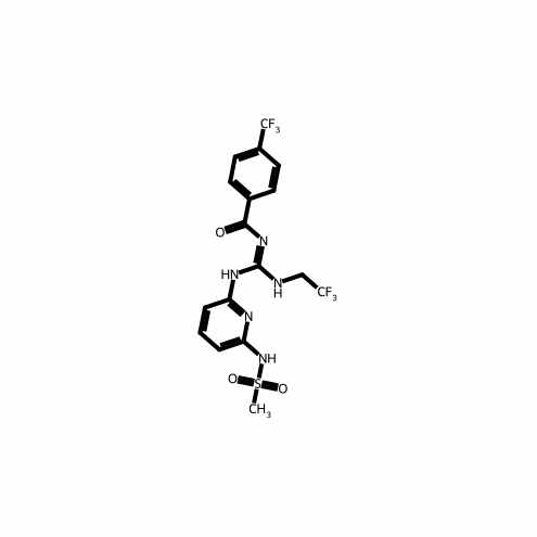 CS(=O)(=O)Nc1cccc(N/C(=N\C(=O)c2ccc(C(F)(F)F)cc2)NCC(F)(F)F)n1